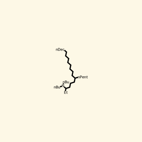 [CH2]CC(CCCC(CCCCC)CCCCCCCCCCCCCCCCCC)N(CCCC)CCCC